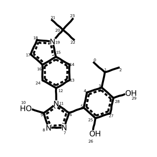 CC(C)c1cc(-c2nnc(O)n2-c2ccc3c(ccn3C(C)(C)C)c2)c(O)cc1O